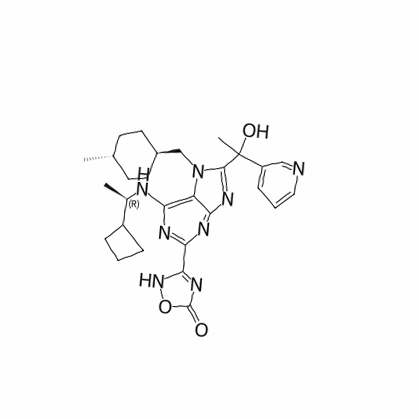 C[C@@H](Nc1nc(-c2nc(=O)o[nH]2)nc2nc(C(C)(O)c3cccnc3)n(C[C@H]3CC[C@H](C)CC3)c12)C1CCC1